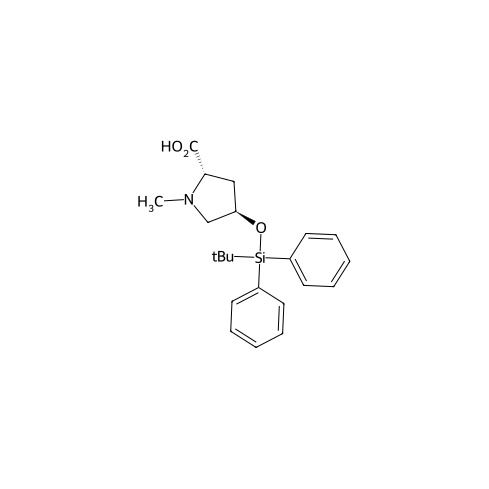 CN1C[C@H](O[Si](c2ccccc2)(c2ccccc2)C(C)(C)C)C[C@H]1C(=O)O